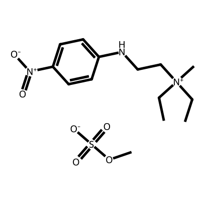 CC[N+](C)(CC)CCNc1ccc([N+](=O)[O-])cc1.COS(=O)(=O)[O-]